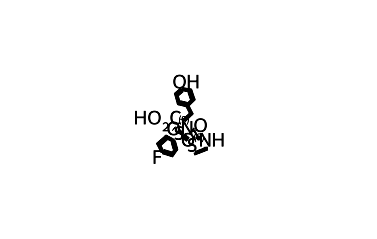 O=C(O)[C@H](Cc1ccc(O)cc1)N(C(=O)[C@H]1NCCS1)S(=O)(=O)c1ccc(F)cc1